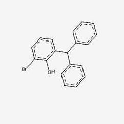 Oc1c(Br)cccc1C(c1ccccc1)c1ccccc1